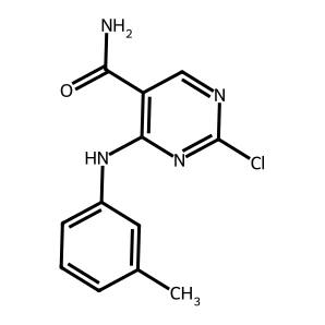 Cc1cccc(Nc2nc(Cl)ncc2C(N)=O)c1